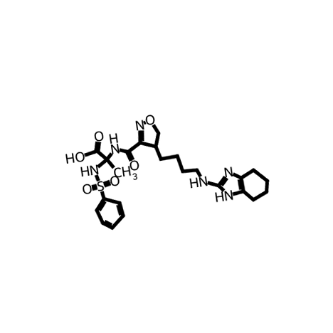 CC(NC(=O)C1=NOCC1CCCCNc1nc2c([nH]1)CCCC2)(NS(=O)(=O)c1ccccc1)C(=O)O